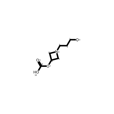 [O]CCCN1CC(OC(=O)O)C1